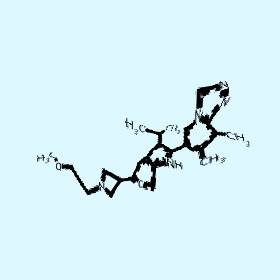 COCCN1CC(c2ccc3[nH]c(-c4cn5cnnc5c(C)c4C)c(C(C)C)c3c2)C1